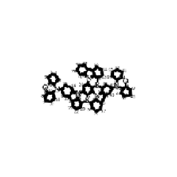 c1ccc2c(c1)Oc1ccccc1N2c1ccc2c(c1)c1cccc3c1n2-c1cc2c4c5c1B3c1cccc3c6cc(N7c8ccccc8Oc8ccccc87)cc(c6n-5c13)B4c1cccc3c4ccccc4n-2c13